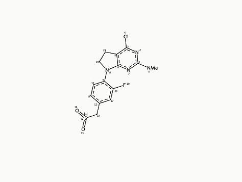 CNc1nc(Cl)c2c(n1)N(c1ccc(C[SH](=O)=O)cc1F)CC2